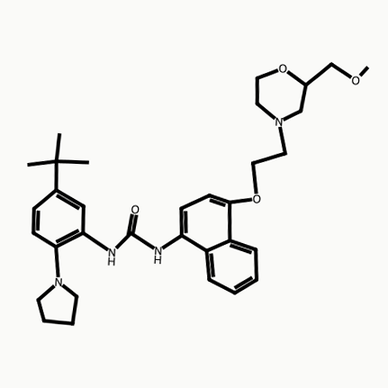 COCC1CN(CCOc2ccc(NC(=O)Nc3cc(C(C)(C)C)ccc3N3CCCC3)c3ccccc23)CCO1